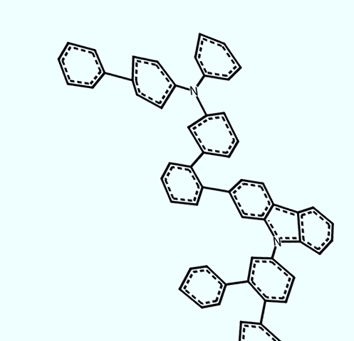 c1ccc(-c2ccc(N(c3ccccc3)c3cccc(-c4ccccc4-c4ccc5c6ccccc6n(-c6ccc(-c7ccccc7)c(-c7ccccc7)c6)c5c4)c3)cc2)cc1